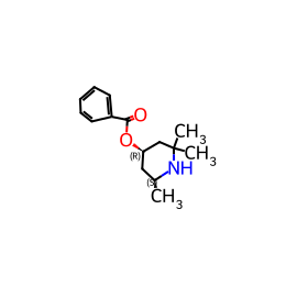 C[C@H]1C[C@@H](OC(=O)c2ccccc2)CC(C)(C)N1